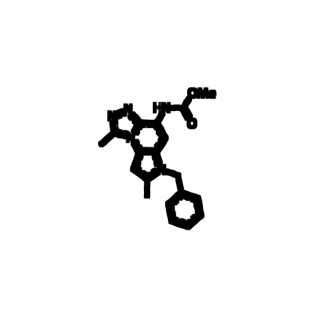 COC(=O)Nc1cc2c(cc(C)n2Cc2ccccc2)n2c(C)nnc12